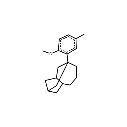 COc1ccc(C)cc1C12CCCC3CC(CC3C1)C2